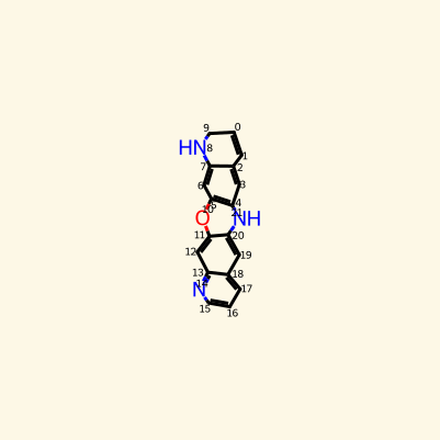 C1=Cc2cc3c(cc2NC1)Oc1cc2ncccc2cc1N3